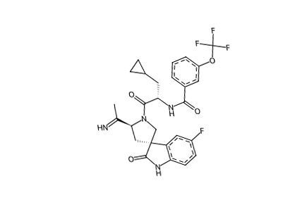 CC(=N)[C@@H]1C[C@@]2(CN1C(=O)[C@H](CC1CC1)NC(=O)c1cccc(OC(F)(F)F)c1)C(=O)Nc1ccc(F)cc12